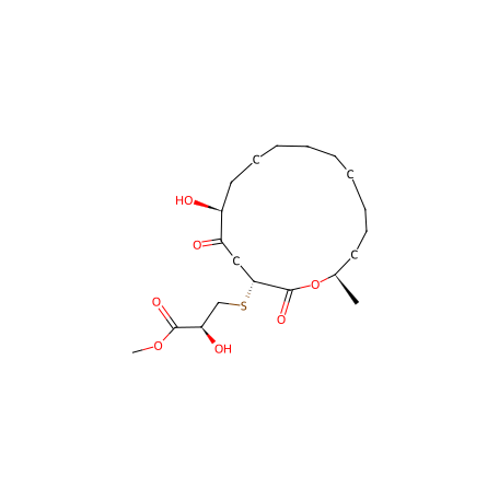 COC(=O)[C@H](O)CS[C@@H]1CC(=O)[C@@H](O)CCCCCCCCC[C@@H](C)OC1=O